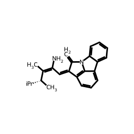 C=c1/c(=C\C(N)=C(\C)[C@H](C)C(C)C)c2cccc3c4ccccc4n1c23